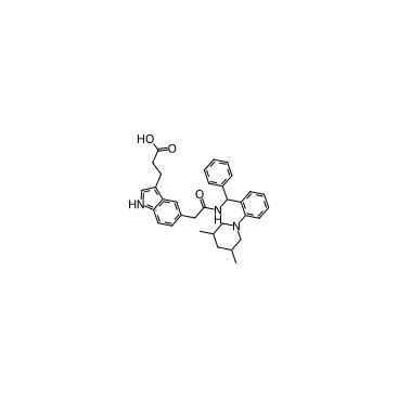 CC1CC(C)CN(c2ccccc2C(NC(=O)Cc2ccc3[nH]cc(CCC(=O)O)c3c2)c2ccccc2)C1